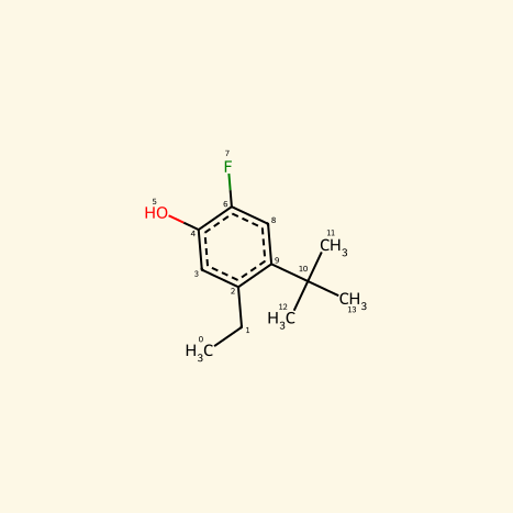 CCc1cc(O)c(F)cc1C(C)(C)C